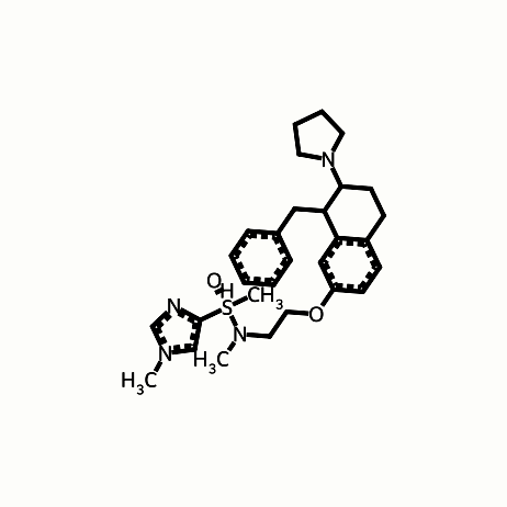 CN(CCOc1ccc2c(c1)C(Cc1ccccc1)C(N1CCCC1)CC2)[SH](C)(=O)c1cn(C)cn1